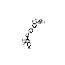 CNC(=O)c1ccc(N2CCN([C@H]3C=C(c4nc5c(c(=O)[nH]4)CC4(CC5)CC4)CC3)CC2)cc1F